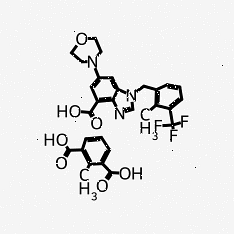 Cc1c(C(=O)O)cccc1C(=O)O.Cc1c(Cn2cnc3c(C(=O)O)cc(N4CCOCC4)cc32)cccc1C(F)(F)F